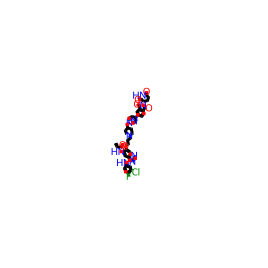 C=CC(=O)Nc1cc2c(Nc3ccc(F)c(Cl)c3)ncnc2cc1OCCCN1CCC(CN2CC3CCC2CN3c2ccc3c(c2)C(=O)N(C2CCC(=O)NC2=O)C3=O)CC1